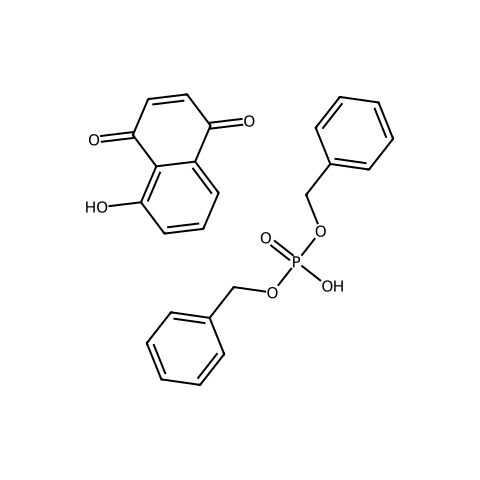 O=C1C=CC(=O)c2c(O)cccc21.O=P(O)(OCc1ccccc1)OCc1ccccc1